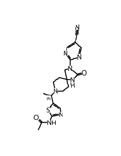 CC(=O)Nc1ncc([C@@H](C)N2CCC3(CC2)CN(c2ncc(C#N)cn2)C(=O)N3)s1